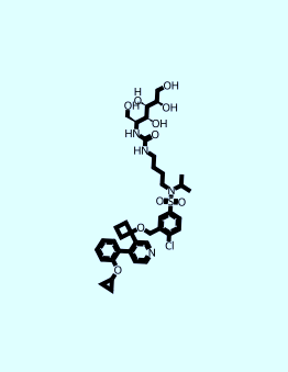 CC(C)N(CCCCNC(=O)N[C@@H](CO)[C@@H](O)[C@H](O)[C@H](O)CO)S(=O)(=O)c1ccc(Cl)c(COC2(c3cnccc3-c3ccccc3OC3CC3)CCC2)c1